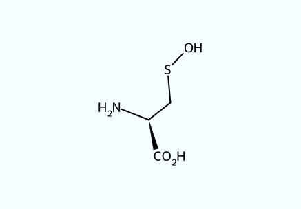 N[C@@H](CSO)C(=O)O